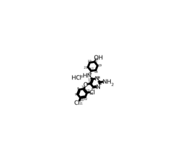 Cl.Nc1ncc(Oc2ccc(Cl)cc2Cl)c(N[C@H]2CC[C@H](O)CC2)n1